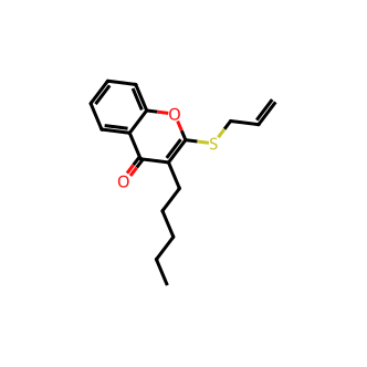 C=CCSc1oc2ccccc2c(=O)c1CCCCC